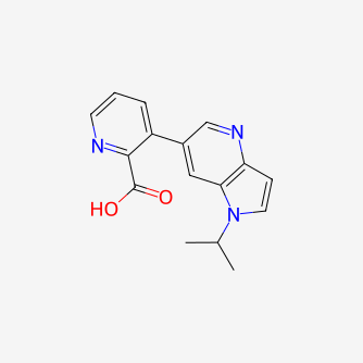 CC(C)n1ccc2ncc(-c3cccnc3C(=O)O)cc21